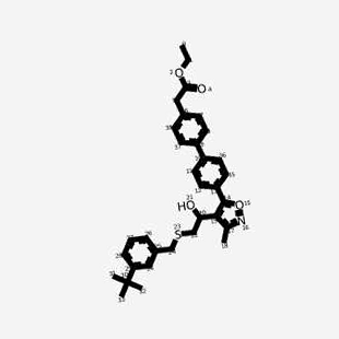 CCOC(=O)Cc1ccc(-c2ccc(-c3onc(C)c3C(O)CSCc3cccc(C(C)(C)C)c3)cc2)cc1